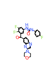 O=C(Nc1ccc(F)cc1)Nc1cc(F)c(F)c(C(=O)c2ccc3ncc(N4CCOCC4)nc3c2)c1